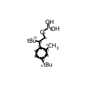 Cc1cc(C(C)(C)C)ccc1C(COP(O)O)C(C)(C)C